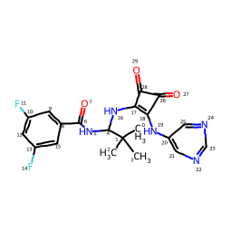 CC(C)(C)C(NC(=O)c1cc(F)cc(F)c1)Nc1c(Nc2cncnc2)c(=O)c1=O